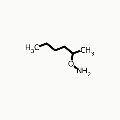 CCCCC(C)ON